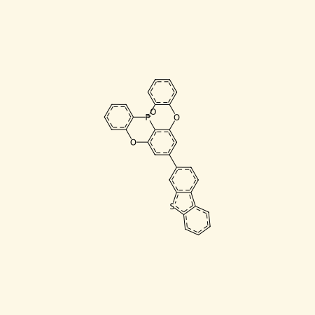 O=P12c3ccccc3Oc3cc(-c4ccc5c(c4)sc4ccccc45)cc(c31)Oc1ccccc12